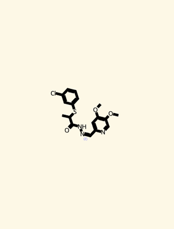 COc1cnc(/C=N\NC(=O)C(C)Sc2cccc(Cl)c2)cc1OC